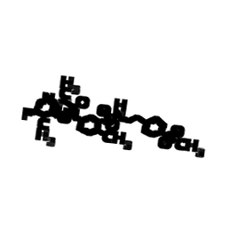 Cc1ccc(NC(=O)[C@@H](C)n2ncc(F)c(C)c2=O)cc1S(=O)(=O)NCCc1ccc(S(C)(=O)=O)cc1